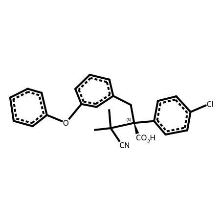 CC(C)(C#N)[C@@](Cc1cccc(Oc2ccccc2)c1)(C(=O)O)c1ccc(Cl)cc1